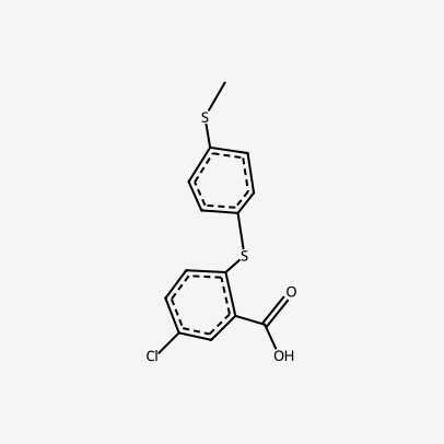 CSc1ccc(Sc2ccc(Cl)cc2C(=O)O)cc1